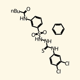 CCCCC(=O)Nc1cccc(S(=O)(=O)NNC(=S)Nc2ccc(Cl)c(Cl)c2)c1.c1ccccc1